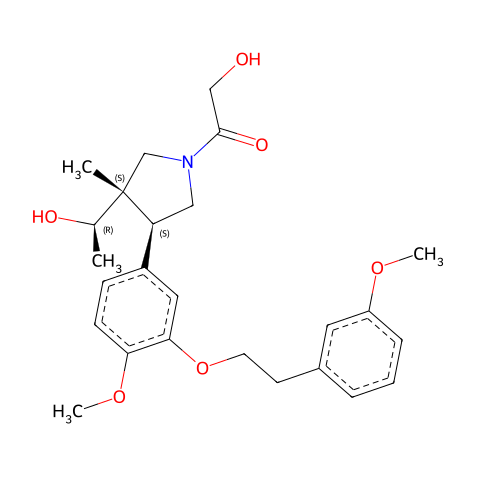 COc1cccc(CCOc2cc([C@@H]3CN(C(=O)CO)C[C@@]3(C)[C@@H](C)O)ccc2OC)c1